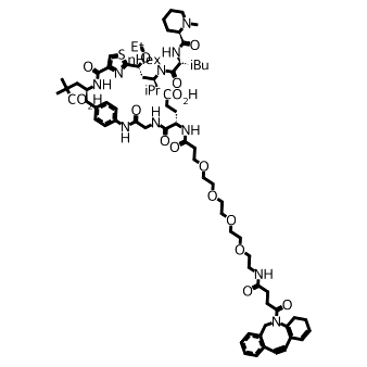 CCCCCCN(C(=O)[C@@H](NC(=O)[C@H]1CCCCN1C)[C@@H](C)CC)[C@H](C[C@@H](OCC)c1nc(C(=O)N[C@@H](Cc2ccc(NC(=O)CNC(=O)[C@H](CCC(=O)O)NC(=O)CCOCCOCCOCCOCCNC(=O)CCC(=O)N3Cc4ccccc4C#CC4=C3CCC=C4)cc2)CC(C)(C)C(=O)O)cs1)C(C)C